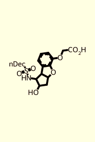 CCCCCCCCCCS(=O)(=O)NC1C(O)CC2Oc3c(OCC(=O)O)cccc3C21